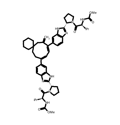 C=C1CC2(CCCCC2)CC/C(c2ccc3nc([C@@H]4CCCN4C(=O)[C@@H](NC(=O)OC)C(C)C)[nH]c3c2)=C\C=C/1c1ccc2nc([C@@H]3CCCN3C(=O)[C@@H](NC(=O)OC)C(C)C)[nH]c2c1